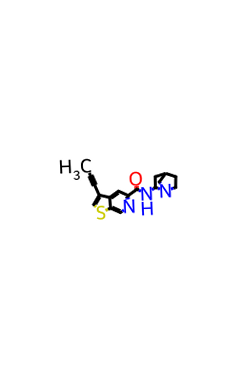 CC#Cc1csc2cnc(C(=O)NC3CC4CCN3C4)cc12